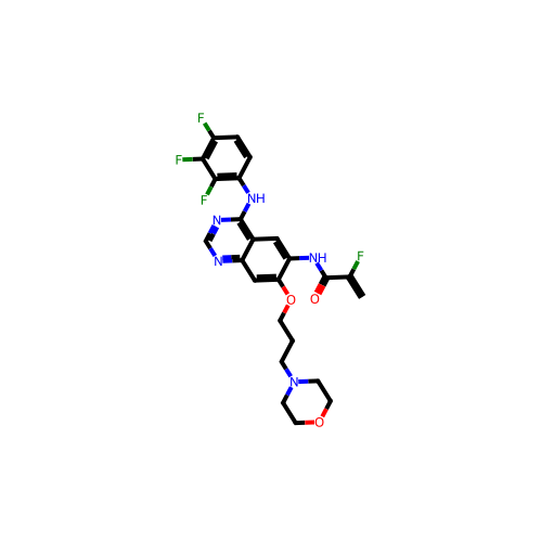 C=C(F)C(=O)Nc1cc2c(Nc3ccc(F)c(F)c3F)ncnc2cc1OCCCN1CCOCC1